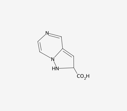 O=C(O)C1C=C2C=NC=CN2N1